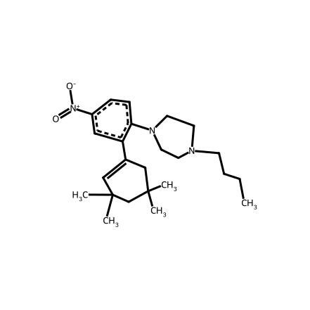 CCCCN1CCN(c2ccc([N+](=O)[O-])cc2C2=CC(C)(C)CC(C)(C)C2)CC1